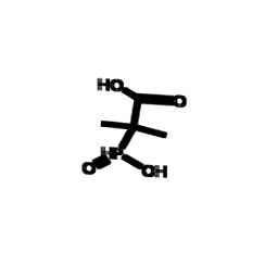 CC(C)(C(=O)O)[PH](=O)O